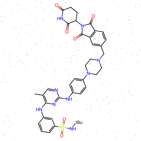 Cc1cnc(Nc2ccc(N3CCN(Cc4ccc5c(c4)C(=O)N(C4CCC(=O)NC4=O)C5=O)CC3)cc2)nc1Nc1cccc(S(=O)(=O)NC(C)(C)C)c1